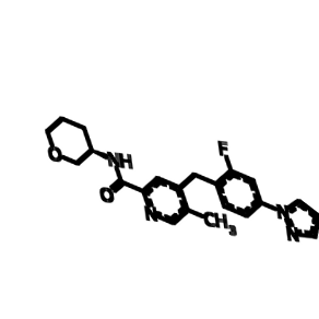 Cc1cnc(C(=O)N[C@@H]2CCCOC2)cc1Cc1ccc(-n2cccn2)cc1F